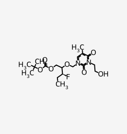 CC[C@H](F)C(COC(=O)OC(C)(C)C)OCn1cc(C)c(=O)n(CCO)c1=O